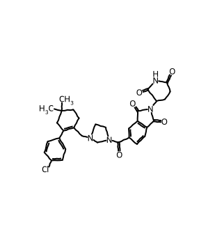 CC1(C)CCC(CN2CCN(C(=O)c3ccc4c(c3)C(=O)N(C3CCC(=O)NC3=O)C4=O)C2)=C(c2ccc(Cl)cc2)C1